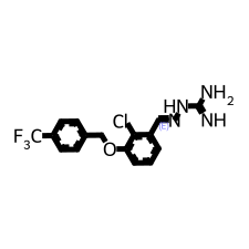 N=C(N)N/N=C/c1cccc(OCc2ccc(C(F)(F)F)cc2)c1Cl